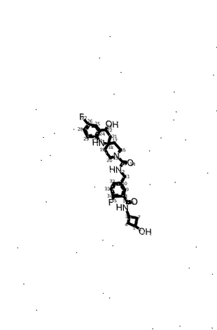 O=C(NC1CC(O)C1)c1cc(CNC(=O)N2CCC3(CC2)CC(O)c2cc(F)ccc2N3)ccc1F